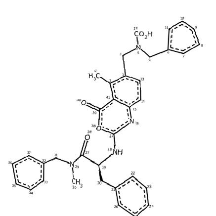 Cc1c(CN(Cc2ccccc2)C(=O)O)ccc2nc(N[C@@H](Cc3ccccc3)C(=O)N(C)Cc3ccccc3)oc(=O)c12